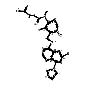 CCC(=O)NCC(=O)N(C)c1ccc(Cl)c(COc2cccc3c(-n4ccnc4)cc(C)nc23)c1Cl